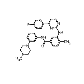 Cc1ccc(C(=O)Nc2cccc(N3CCN(C)CC3)c2)cc1Nc1nccc(-c2ccc(F)cc2)n1